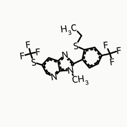 CCSc1cc(C(F)(F)F)ccc1-c1nc2cc(SC(F)(F)F)cnc2n1C